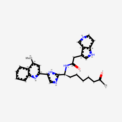 CCC(=O)CCCCC[C@H](NC(=O)Cc1c[nH]c2ccncc12)c1ncc(-c2cc(OC)c3ccccc3n2)[nH]1